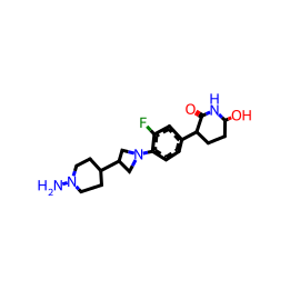 NN1CCC(C2CN(c3ccc(C4CCC(O)NC4=O)cc3F)C2)CC1